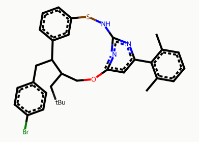 Cc1cccc(C)c1-c1cc2nc(n1)NSc1cccc(c1)C(Cc1ccc(Br)cc1)C(CC(C)(C)C)CO2